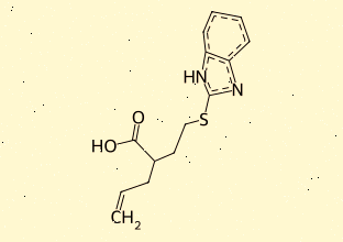 C=CCC(CCSc1nc2ccccc2[nH]1)C(=O)O